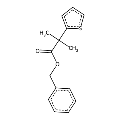 CC(C)(C(=O)OCc1ccccc1)c1cccs1